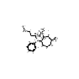 CCOCCC(=O)N(c1ccccc1)C1CCCC(Br)CC1N(C)C